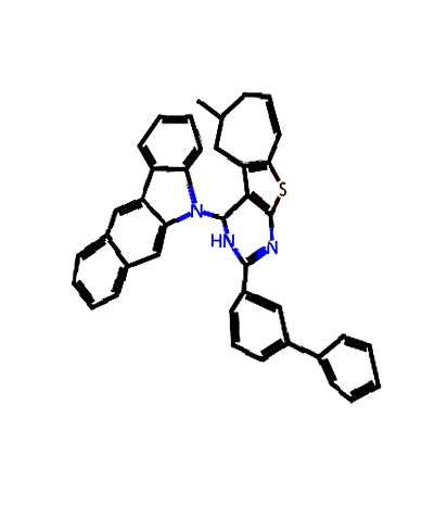 CC1CC=Cc2sc3c(c2C1)C(n1c2ccccc2c2cc4ccccc4cc21)NC(c1cccc(-c2ccccc2)c1)=N3